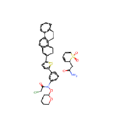 NC(=O)CC1C=CC=CS1(=O)=O.O=C(CCl)N(OC1CCCCO1)c1cccc(-c2ccc(C3=Cc4ccc5c(c4CC3)CCc3ccccc3-5)s2)c1